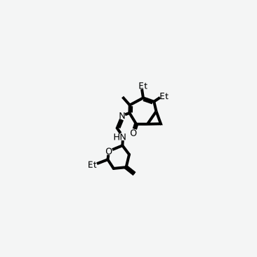 C=C1CC(CC)OC(N/C=N\C2=C(C)C(CC)=C(CC)C3CC3C2=O)C1